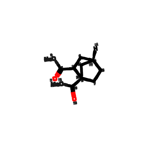 COC(=O)C1C[C@@H]2CC[C@@]1(C(=O)OC)C2